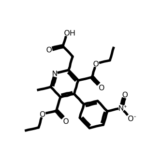 CCOC(=O)c1c(C)nc(CC(=O)O)c(C(=O)OCC)c1-c1cccc([N+](=O)[O-])c1